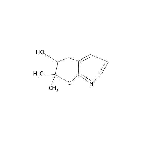 CC1(C)Oc2ncccc2CC1O